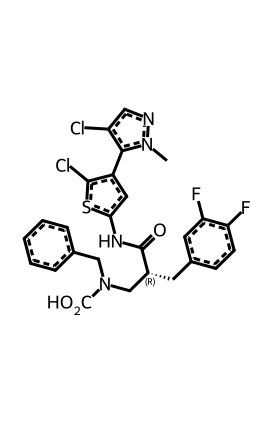 Cn1ncc(Cl)c1-c1cc(NC(=O)[C@H](Cc2ccc(F)c(F)c2)CN(Cc2ccccc2)C(=O)O)sc1Cl